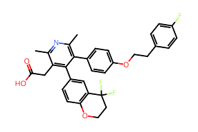 Cc1nc(C)c(-c2ccc(OCCc3ccc(F)cc3)cc2)c(-c2ccc3c(c2)C(F)(F)CCO3)c1CC(=O)O